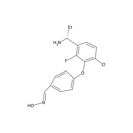 CC[C@@H](N)c1ccc(Cl)c(Oc2ccc(/C=N/O)cc2)c1F